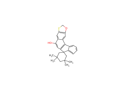 CC1(C)CC(C)(C)CC2(C1)c1ccccc1-c1c2cc(O)c2cc3c(cc12)OCS3